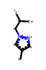 Cc1cnn(CC(I)I)c1